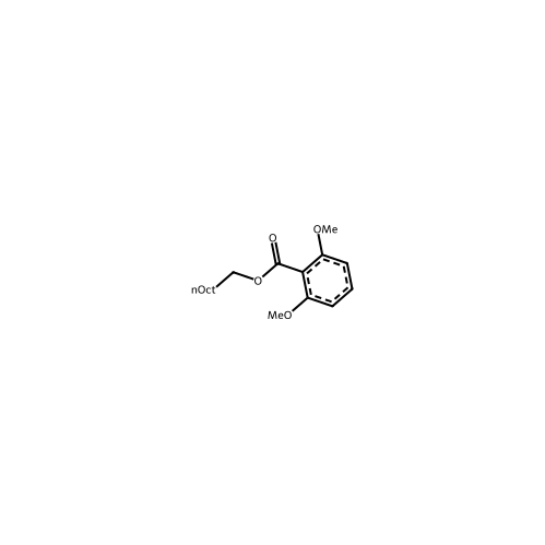 CCCCCCCCCOC(=O)c1c(OC)cccc1OC